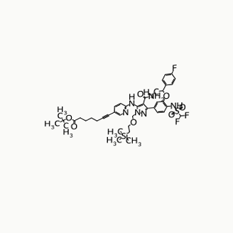 CC(Oc1cc(-c2nn(COCC[Si](C)(C)C)c(Nc3ccc(C#CCCCCC(=O)OC(C)(C)C)cn3)c2C(N)=O)ccc1NS(=O)(=O)C(F)F)c1ccc(F)cc1